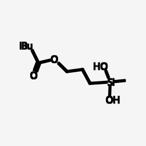 CCC(C)C(=O)OCCC[Si](C)(O)O